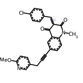 COc1ccc(CC#Cc2ccc3c(c2)C(=O)/C(=C\c2ccc(Cl)cc2)C(=O)N3C)cn1